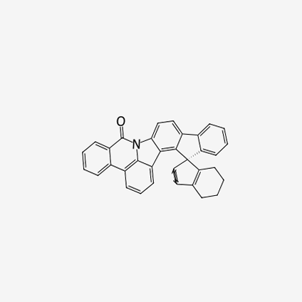 O=c1c2ccccc2c2cccc3c4c5c(ccc4n1c23)-c1ccccc1[C@@]51C2=C(CCCC2)c2ccccc21